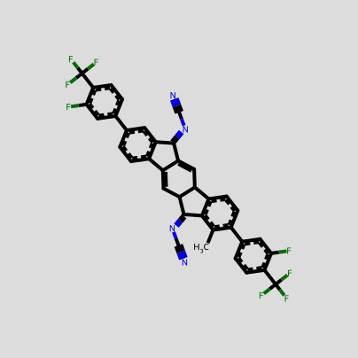 Cc1c(-c2ccc(C(F)(F)F)c(F)c2)ccc2c1/C(=N\C#N)C1C=C3C(=CC21)/C(=N/C#N)c1cc(-c2ccc(C(F)(F)F)c(F)c2)ccc13